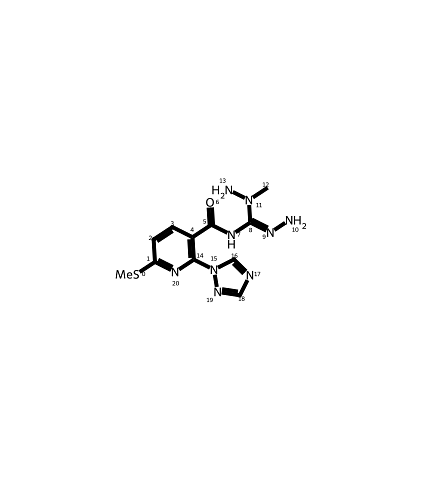 CSc1ccc(C(=O)N/C(=N/N)N(C)N)c(-n2cncn2)n1